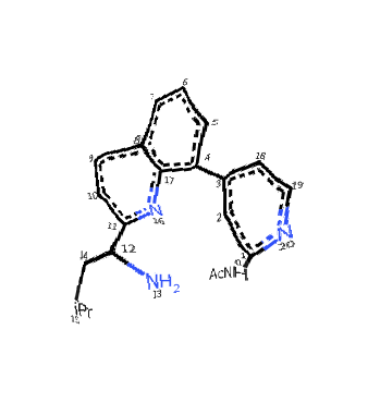 CC(=O)Nc1cc(-c2cccc3ccc(C(N)CC(C)C)nc23)ccn1